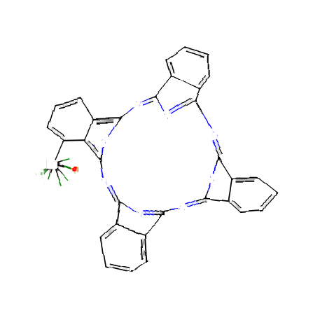 [Cl][Fe]([Cl])([Cl])([Cl])([Cl])([Cl])([Cl])([Cl])[c]1cccc2c3nc4nc(nc5[nH]c(nc6nc(nc([nH]3)c12)-c1ccccc1-6)c1ccccc51)-c1ccccc1-4